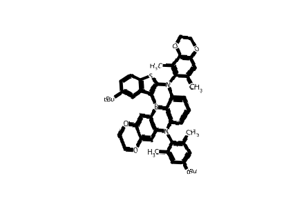 Cc1cc(C(C)(C)C)cc(C)c1N1c2cc3c(cc2B2c4c1cccc4N(c1c(C)cc4c(c1C)OCCO4)c1sc4ccc(C(C)(C)C)cc4c12)OCCO3